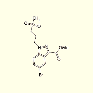 COC(=O)c1nn(CCCS(C)(=O)=O)c2ccc(Br)cc12